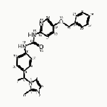 Cc1nccn1C(C)c1ccc(NC(=O)Nc2ccc(OCc3ccccc3)cn2)cc1